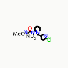 CO/N=C(/C(=O)/N=c1\ccccn1Cc1ccc(Cl)nc1)[N+](=O)[O-]